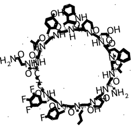 CCCC[C@H]1C(O)N2CCC[C@@H]2C(=O)N[C@@H](CN)C(=O)N[C@@H](C(C)C)C(=O)N(C)C(Cc2ccccc2)C(=O)N[C@@H](CC(=O)O)C(=O)N2CCCC[C@@H]2C(=O)N[C@@H](Cc2c[nH]c3ccccc23)C(=O)N[C@@H](Cc2ccc(O)cc2)C(=O)N[C@@H](CC(C)C)C(=O)N[C@H](C(=O)NCC(N)=O)CSCC(=O)N[C@@H](Cc2cc(F)c(F)c(F)c2)C(=O)N(C)[C@@H](Cc2ccc(F)cc2)C(=O)N1C